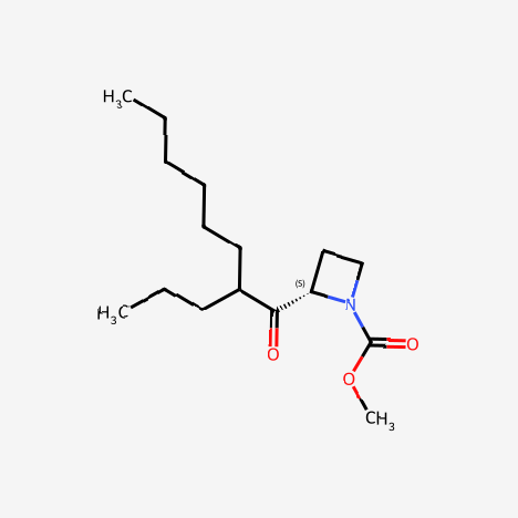 CCCCCCC(CCC)C(=O)[C@@H]1CCN1C(=O)OC